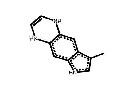 Cc1c[nH]c2cc3c(cc12)NC=CN3